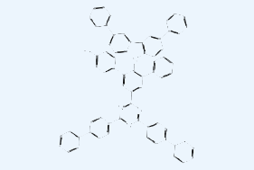 CC(C)(C)c1ccc(-c2cc(-c3nc(-c4ccc(-c5ccccc5)cc4)nc(-c4ccc(C5C=CC=CC5)cc4)n3)cc(-c3ccccc3)c2-n2c3ccc(-c4ccccc4)cc3c3cc(-c4ccccc4)ccc32)cc1